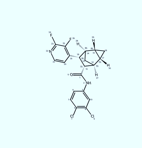 O=C(Nc1ccc(Cl)c(Cl)c1)[C@H]1[C@H]2C[C@H]([C@@H]3C[C@@H]32)[C@H]1c1ccnc(F)c1F